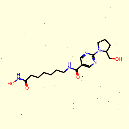 O=C(CCCCCCNC(=O)c1cnc(N2CCCC2CO)nc1)NO